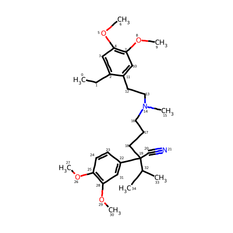 CCc1cc(OC)c(OC)cc1CCN(C)CCCC(C#N)(c1ccc(OC)c(OC)c1)C(C)C